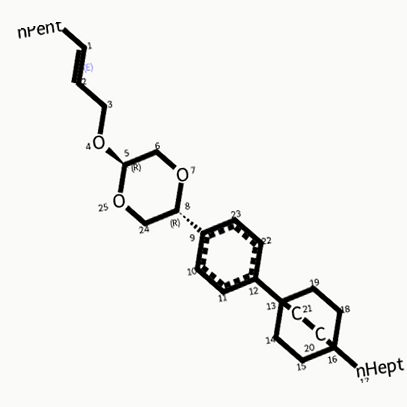 CCCCC/C=C/CO[C@H]1CO[C@H](c2ccc(C34CCC(CCCCCCC)(CC3)CC4)cc2)CO1